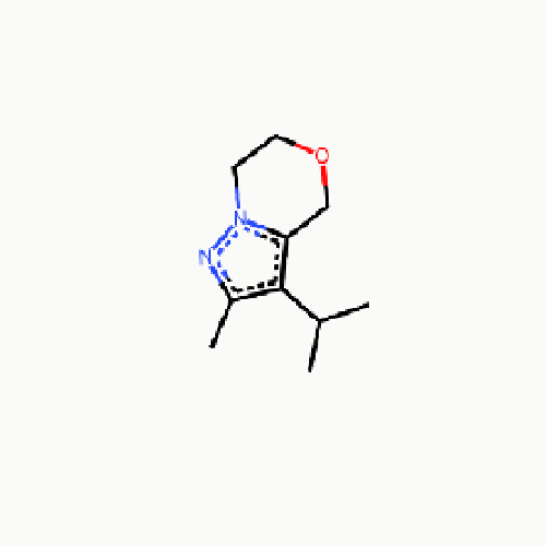 Cc1nn2c(c1C(C)C)COCC2